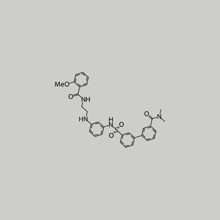 COc1ccccc1C(=O)NCCNc1cccc(NS(=O)(=O)c2cccc(-c3cccc(C(=O)N(C)C)c3)c2)c1